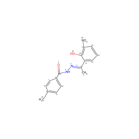 C/C(=N\NC(=O)c1ccc(C)cc1)c1cccc([N+](=O)[O-])c1O